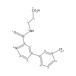 O=C(O)CCNC(=O)c1cc(-c2cccc(C(F)(F)F)c2)ccn1